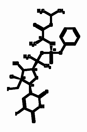 CC(C)OC(=O)[C@H](C)N[P@@](=O)(Oc1ccccc1)OC(C)(C)[C@H]1O[C@@H](n2cc(F)c(=O)[nH]c2=O)[C@@](Cl)(CF)C1O